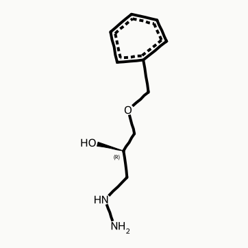 NNC[C@@H](O)COCc1ccccc1